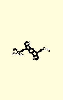 CC#CC1=c2cc3c(cc2-c2sccc21)=C(C#C[Si](C(C)C)(C(C)C)C(C)C)c1ccsc1-3